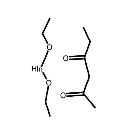 CCC(=O)CC(C)=O.CC[O][InH][O]CC